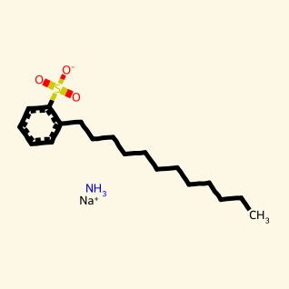 CCCCCCCCCCCCc1ccccc1S(=O)(=O)[O-].N.[Na+]